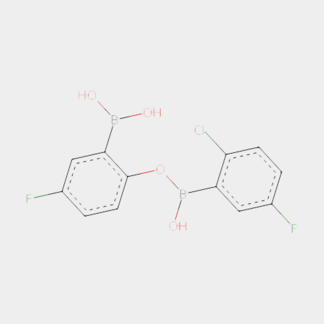 OB(Oc1ccc(F)cc1B(O)O)c1cc(F)ccc1Cl